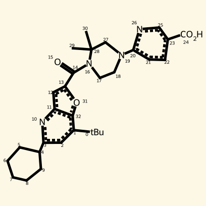 CC(C)(C)c1cc(C2CCCCC2)nc2cc(C(=O)N3CCN(c4ccc(C(=O)O)cn4)CC3(C)C)oc12